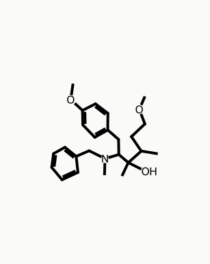 COCCC(C)C(C)(O)C(Cc1ccc(OC)cc1)N(C)Cc1ccccc1